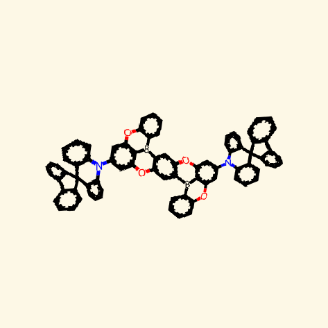 c1ccc2c(c1)Oc1cc(N3c4ccccc4C4(c5ccccc5-c5ccccc54)c4ccccc43)cc3c1B2c1cc2c(cc1O3)B1c3ccccc3Oc3cc(N4c5ccccc5C5(c6ccccc6-c6ccccc65)c5ccccc54)cc(c31)O2